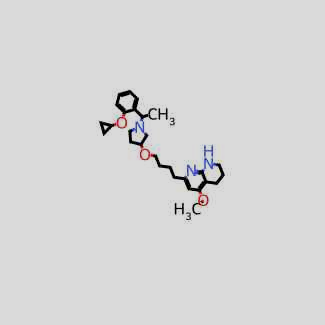 COc1cc(CCCCOC2CCN(C(C)c3ccccc3OC3CC3)C2)nc2c1CCCN2